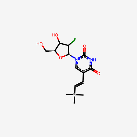 C[Si](C)(C)/C=C/c1cn([C@H]2O[C@@H](CO)C(O)C2F)c(=O)[nH]c1=O